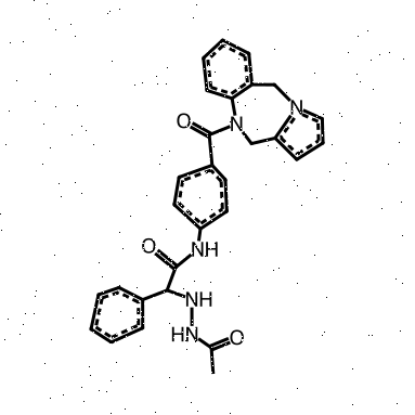 CC(=O)NNC(C(=O)Nc1ccc(C(=O)N2Cc3cccn3Cc3ccccc32)cc1)c1ccccc1